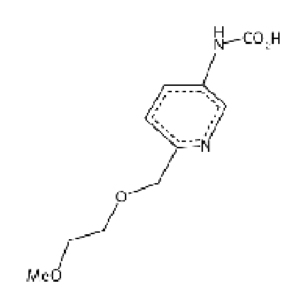 COCCOCc1ccc(NC(=O)O)cn1